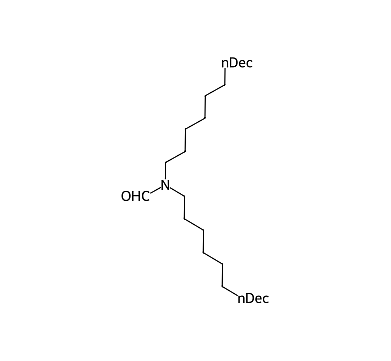 CCCCCCCCCCCCCCCCN(C=O)CCCCCCCCCCCCCCCC